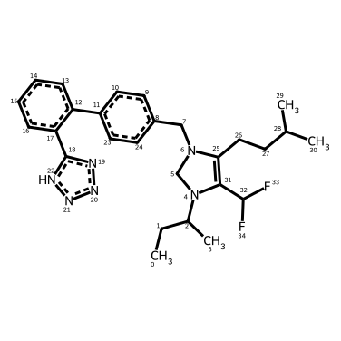 CCC(C)N1CN(Cc2ccc(-c3ccccc3-c3nnn[nH]3)cc2)C(CCC(C)C)=C1C(F)F